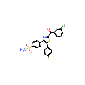 NS(=O)(=O)c1ccc(-c2nc(C(=O)c3cccc(Cl)c3)sc2-c2ccc(F)cc2)cc1